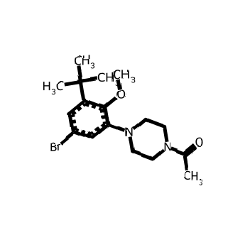 COc1c(N2CCN(C(C)=O)CC2)cc(Br)cc1C(C)(C)C